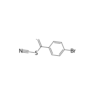 [CH]=C(SC#N)c1ccc(Br)cc1